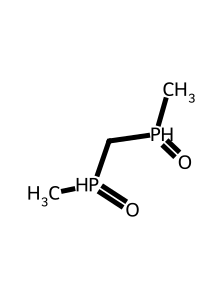 C[PH](=O)C[PH](C)=O